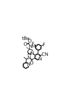 CC(NC(=O)c1cnc(C#N)c(-c2cc(F)cc(F)c2)c1N1CC[C@](C)(NC(=O)OC(C)(C)C)C1)c1ccccn1